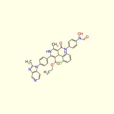 CCOC(=O)C1=C(c2ccc(-n3c(C)nc4cnccc43)cc2)NC(C)=C(C(=O)Nc2ccc(N(O)C=O)cc2)C1c1ccccc1Cl